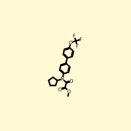 COC(=O)C(=O)N(c1ccc(-c2ccc(OC(F)(F)F)cc2)cc1)C1CCCC1